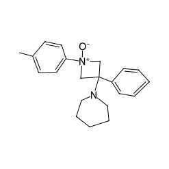 Cc1ccc([N+]2([O-])CC(c3ccccc3)(N3CCCCC3)C2)cc1